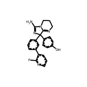 NC1=NC(c2ccc(O)cc2)(c2cccc(-c3cccnc3F)c2)C2=NCCCN12